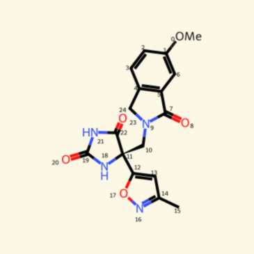 COc1ccc2c(c1)C(=O)N(C[C@@]1(c3cc(C)no3)NC(=O)NC1=O)C2